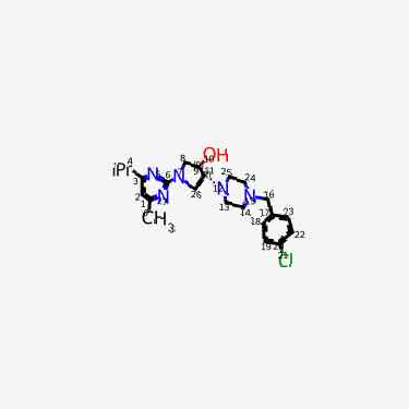 Cc1cc(C(C)C)nc(N2C[C@@H](O)[C@H](N3CCN(Cc4ccc(Cl)cc4)CC3)C2)n1